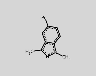 Cc1nn(C)c2ccc(C(C)C)cc12